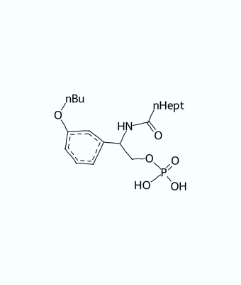 CCCCCCCC(=O)NC(COP(=O)(O)O)c1cccc(OCCCC)c1